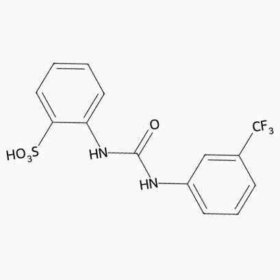 O=C(Nc1cccc(C(F)(F)F)c1)Nc1ccccc1S(=O)(=O)O